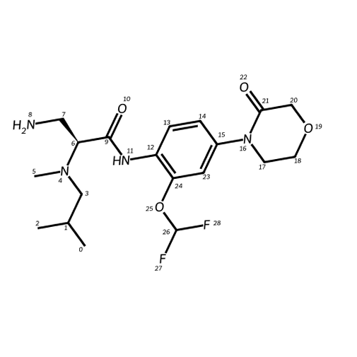 CC(C)CN(C)[C@@H](CN)C(=O)Nc1ccc(N2CCOCC2=O)cc1OC(F)F